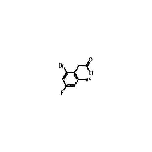 CC(C)c1cc(F)cc(Br)c1CC(=O)Cl